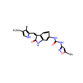 CC(=O)Nc1c[nH]c(/C=C2\C(=O)Nc3cc(NC(=O)Nc4cc(C(C)(C)C)on4)ccc32)c1C